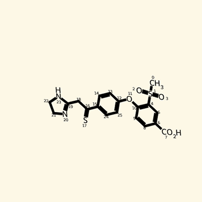 CS(=O)(=O)c1cc(C(=O)O)ccc1Oc1ccc(C(=S)CC2=NCCN2)cc1